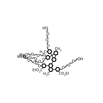 CCOC(=O)c1cc(-c2cc(C)cc3c(-c4ccc(OCCOCCOCCOC)c(C(=O)OCC)c4)cc(-c4ccc5c(c4)C(c4ccc(COCCOCCOCCO)c(C)c4)(c4ccc(OCCOCCOCCOC)c(OCCOCCOCCOC)c4)c4cc(C)ccc4-5)cc23)ccc1COCCOCCOCCO